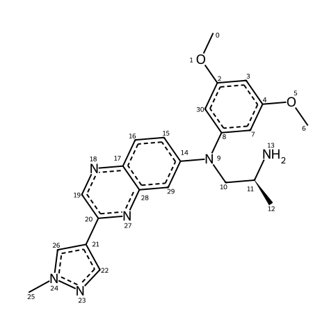 COc1cc(OC)cc(N(C[C@H](C)N)c2ccc3ncc(-c4cnn(C)c4)nc3c2)c1